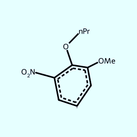 CCCOc1c(OC)c[c]cc1[N+](=O)[O-]